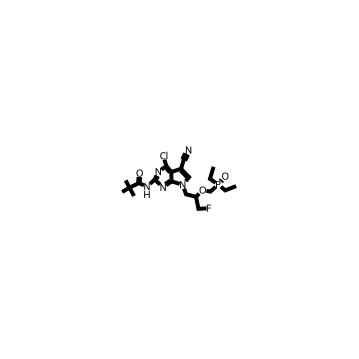 CCP(=O)(CC)COC(CF)Cn1cc(C#N)c2c(Cl)nc(NC(=O)C(C)(C)C)nc21